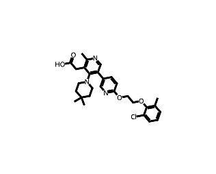 Cc1cccc(Cl)c1OCCOc1ccc(-c2cnc(C)c(CC(=O)O)c2N2CCC(C)(C)CC2)cn1